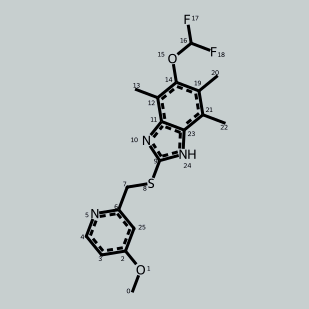 COc1ccnc(CSc2nc3c(C)c(OC(F)F)c(C)c(C)c3[nH]2)c1